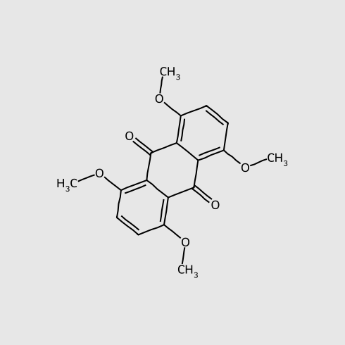 COc1ccc(OC)c2c1C(=O)c1c(OC)ccc(OC)c1C2=O